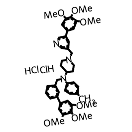 COc1cc(-c2cncc(CN3CCC(N(Cc4cccc(-c5cc(OC)c(OC)c(OC)c5)c4)c4ccc(C)cc4)CC3)c2)cc(OC)c1OC.Cl.Cl